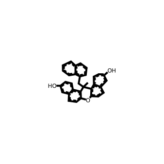 CC1(Cc2cccc3ccccc23)c2c(ccc3cc(O)ccc23)Oc2ccc3cc(O)ccc3c21